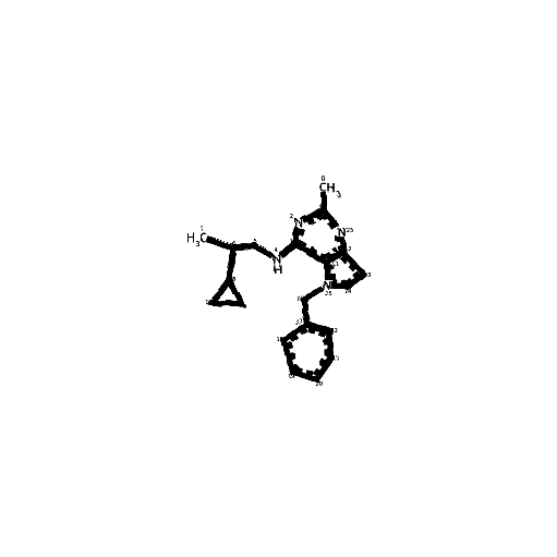 Cc1nc(NCC(C)C2CC2)c2c(ccn2Cc2ccccc2)n1